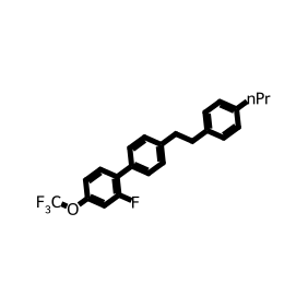 CCCc1ccc(CCc2ccc(-c3ccc(OC(F)(F)F)cc3F)cc2)cc1